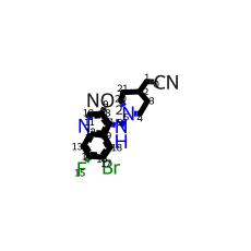 N#CCC1CCN(Nc2c([N+](=O)[O-])cnc3cc(F)c(Br)cc23)CC1